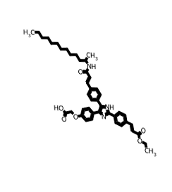 CCCCCCCCCCCC(C)NC(=O)C=Cc1ccc(-c2[nH]c(-c3ccc(C=CC(=O)OCC)cc3)nc2-c2ccc(OCC(=O)O)cc2)cc1